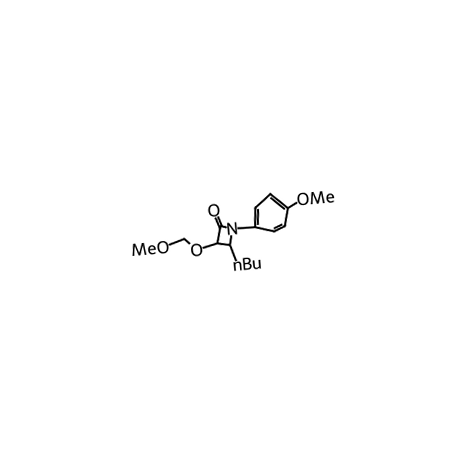 CCCCC1C(OCOC)C(=O)N1c1ccc(OC)cc1